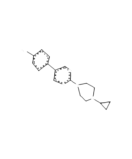 N#Cc1ccc(-c2cnc(N3CCN(C4CC4)CC3)nc2)cc1